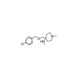 CNC1(COCc2ccc(Cl)cc2)CCN(C)CC1